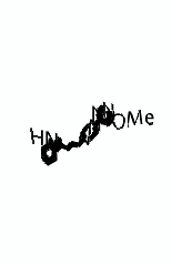 COc1cc(N2CCN(CCCc3c[nH]c4ccccc34)CC2)ncn1